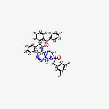 Cc1cc(C)cc(CC(=O)N2CCN(C(/C=N\N)=C(/Cc3ccccc3)OC(c3ccccc3)c3ccccc3)CC2)c1